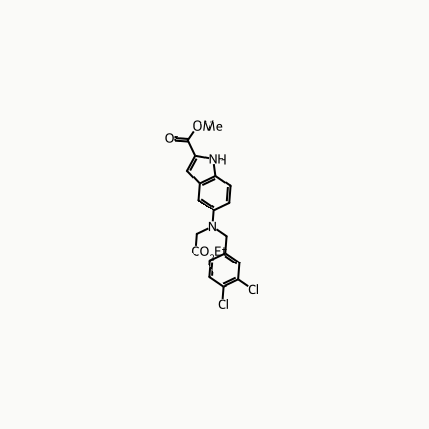 CCOC(=O)CN(Cc1ccc(Cl)c(Cl)c1)c1ccc2[nH]c(C(=O)OC)cc2c1